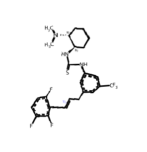 CN(C)[C@@H]1CCCC[C@H]1NC(=S)Nc1cc(C/C=C/c2c(F)ccc(F)c2F)cc(C(F)(F)F)c1